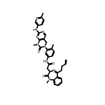 C=CCCC1=NC(CC(=O)Nc2ccc(C)c(N3Cc4cnc(Nc5ccc(C)nc5)nc4N(C)C3=O)c2)C(=O)N(C)c2ccccc21